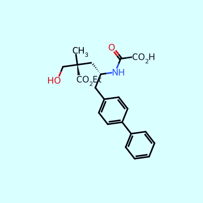 CCOC(=O)[C@](C)(CO)C[C@@H](Cc1ccc(-c2ccccc2)cc1)NC(=O)C(=O)O